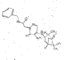 C[C@@H]1[C@H]2C[C@@H](C[C@H]1Nc1cnn(CC(=O)NCc3cccnc3)c(=O)c1Br)C2(C)C